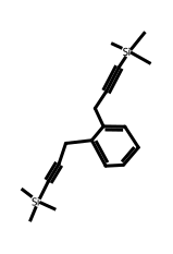 C[Si](C)(C)C#CCc1ccccc1CC#C[Si](C)(C)C